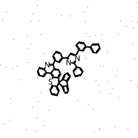 c1ccc(-c2cccc(-c3cc(-c4cccc(-c5nc6ccccc6c6c7c(ccc56)C5(c6ccccc6S7)c6ccccc6-c6ccccc65)c4)nc(-c4ccccc4)n3)c2)cc1